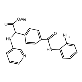 COC(=O)C(Nc1cccnc1)c1ccc(C(=O)Nc2ccccc2N)cc1